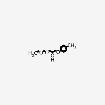 C=COCOCC(O)COc1ccc(C)cc1